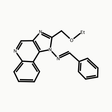 CCOCc1nc2cnc3ccccc3c2n1N=Cc1ccccc1